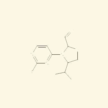 CC(C)C1COC(C=O)N1c1ccnc(Cl)n1